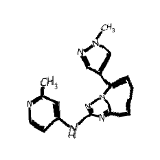 Cc1cc(Nc2nc3cccc(-c4cnn(C)c4)n3n2)ccn1